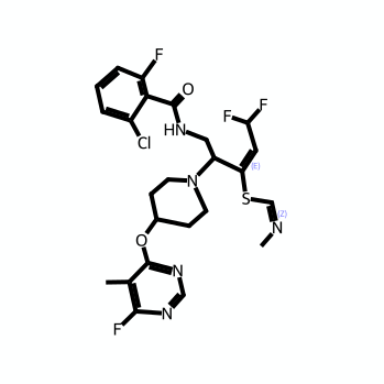 C/N=C\S/C(=C/C(F)F)C(CNC(=O)c1c(F)cccc1Cl)N1CCC(Oc2ncnc(F)c2C)CC1